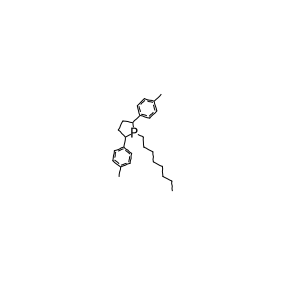 CCCCCCCCP1C(c2ccc(C)cc2)CCC1c1ccc(C)cc1